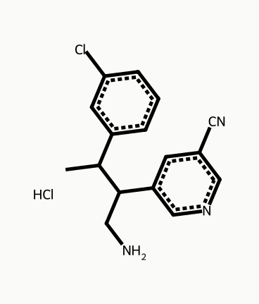 CC(c1cccc(Cl)c1)C(CN)c1cncc(C#N)c1.Cl